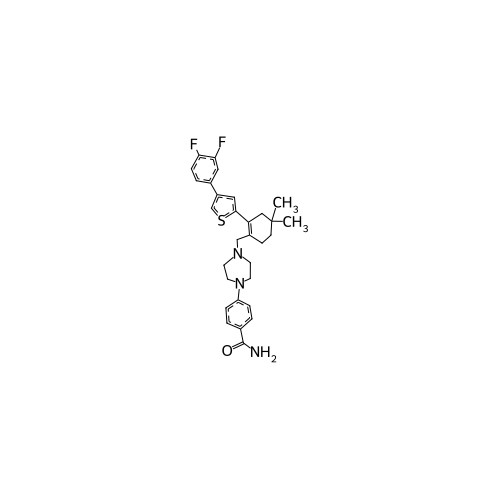 CC1(C)CCC(CN2CCN(c3ccc(C(N)=O)cc3)CC2)=C(c2cc(-c3ccc(F)c(F)c3)cs2)C1